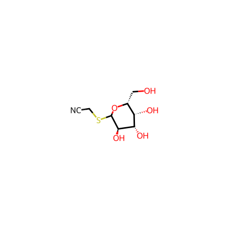 N#CCSC1O[C@H](CO)[C@H](O)[C@H](O)[C@H]1O